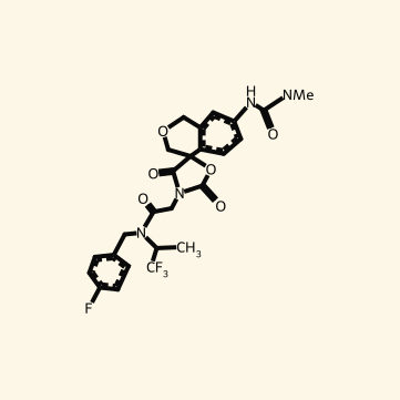 CNC(=O)Nc1ccc2c(c1)COCC21OC(=O)N(CC(=O)N(Cc2ccc(F)cc2)C(C)C(F)(F)F)C1=O